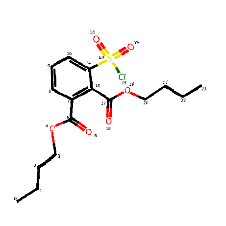 CCCCOC(=O)c1cccc(S(=O)(=O)Cl)c1C(=O)OCCCC